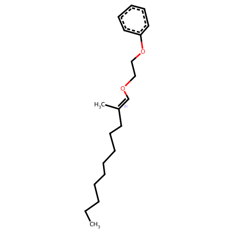 CCCCCCCCC/C(C)=C/OCCOc1ccccc1